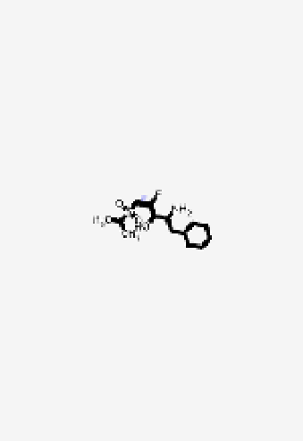 CC(C)S(=O)(=O)/C=C(/F)C(O)C(N)CC1CCCCC1